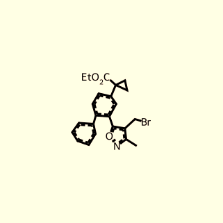 CCOC(=O)C1(c2ccc(-c3ccccc3)c(-c3onc(C)c3CBr)c2)CC1